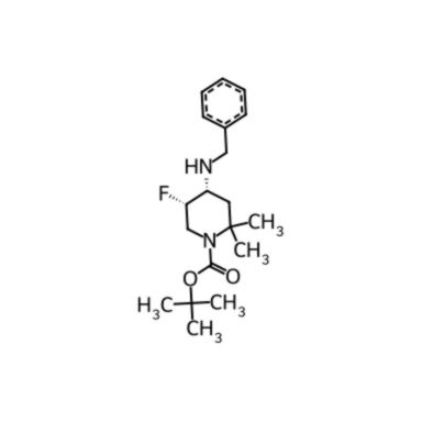 CC(C)(C)OC(=O)N1C[C@H](F)[C@H](NCc2ccccc2)CC1(C)C